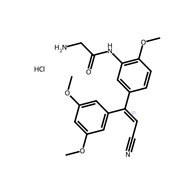 COc1cc(OC)cc(/C(=C\C#N)c2ccc(OC)c(NC(=O)CN)c2)c1.Cl